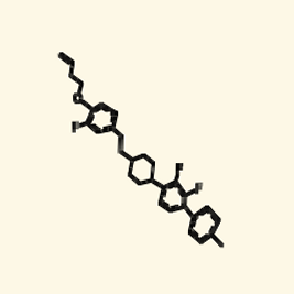 C=CCCOc1ccc(/C=C/C2CCC(c3ccc(-c4ccc(C)cc4)c(F)c3F)CC2)cc1F